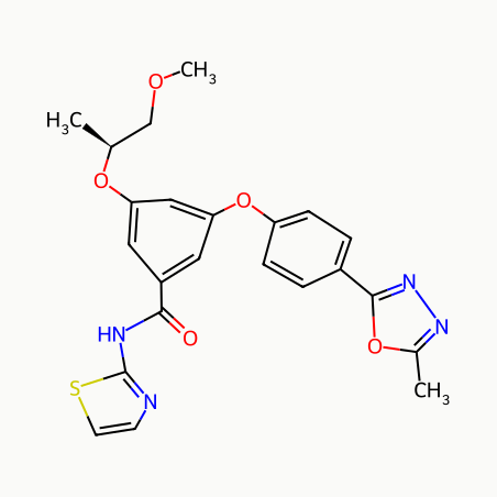 COC[C@H](C)Oc1cc(Oc2ccc(-c3nnc(C)o3)cc2)cc(C(=O)Nc2nccs2)c1